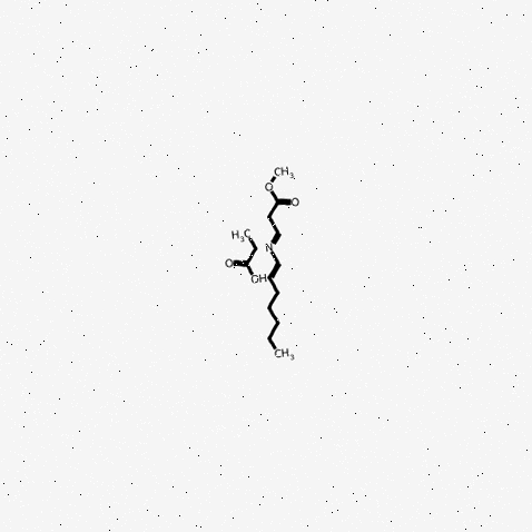 CCC(=O)O.CCCCCC=CN=CCC(=O)OC